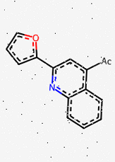 CC(=O)c1cc(-c2ccco2)nc2ccccc12